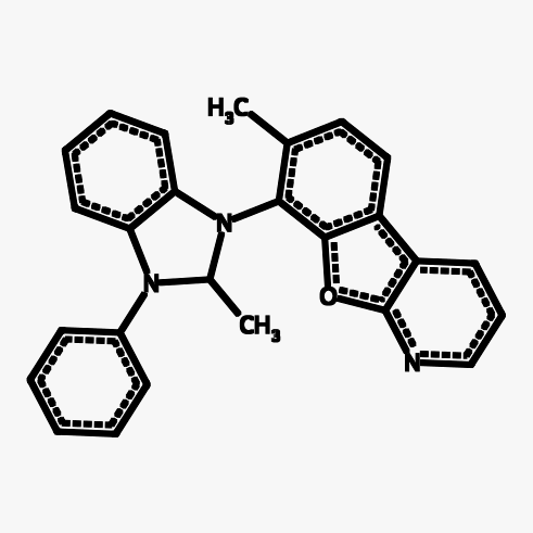 Cc1ccc2c(oc3ncccc32)c1N1c2ccccc2N(c2ccccc2)C1C